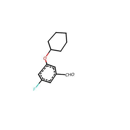 O=Cc1cc(F)cc(OC2CCCCC2)c1